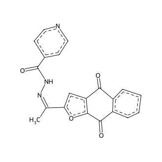 C/C(=N/NC(=O)c1ccncc1)c1cc2c(o1)C(=O)c1ccccc1C2=O